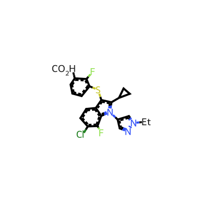 CCn1cc(-n2c(C3CC3)c(Sc3cccc(C(=O)O)c3F)c3ccc(Cl)c(F)c32)cn1